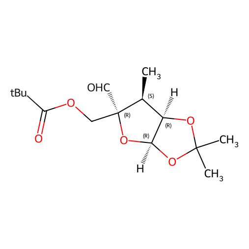 C[C@H]1[C@H]2OC(C)(C)O[C@H]2O[C@@]1(C=O)COC(=O)C(C)(C)C